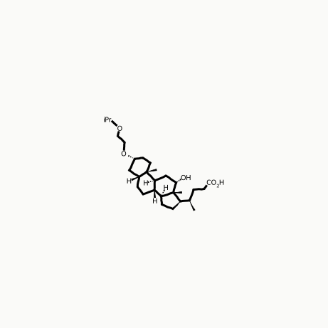 CC(C)OCCO[C@@H]1CC[C@@]2(C)[C@H](CC[C@@H]3[C@@H]2C[C@H](O)[C@]2(C)[C@@H]([C@H](C)CCC(=O)O)CC[C@@H]32)C1